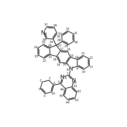 C1=CCCC(c2nc(-n3c4ccccc4c4cc5c(cc43)-c3ccccc3C5(c3ccccc3)c3cccnc3)nc3ccccc23)=C1